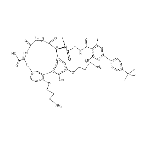 Cc1nc(-c2ccc(C3(C)CC3)cc2)nc(N)c1C(=O)NCC(=O)N(C)[C@@H]1C(=O)N[C@@H](C)C(=O)N[C@H](C(=O)O)Cc2ccc(OCCCN)c(c2)-c2cc1cc(OCCCN)c2O